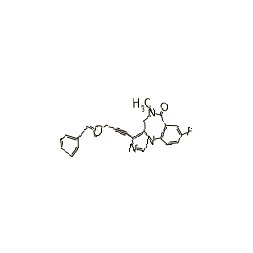 CN1Cc2c(C#CCOCc3ccccc3)ncn2-c2ccc(F)cc2C1=O